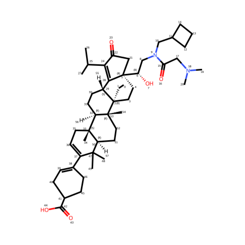 CC[C@@]12CC[C@@]3([C@@H](O)CN(CC4CCC4)C(=O)CN(C)C)CC(=O)C(C(C)C)=C3[C@H]1CC[C@@H]1[C@@]3(C)CC=C(C4=CCC(C(=O)O)CC4)C(C)(C)[C@@H]3CC[C@]12C